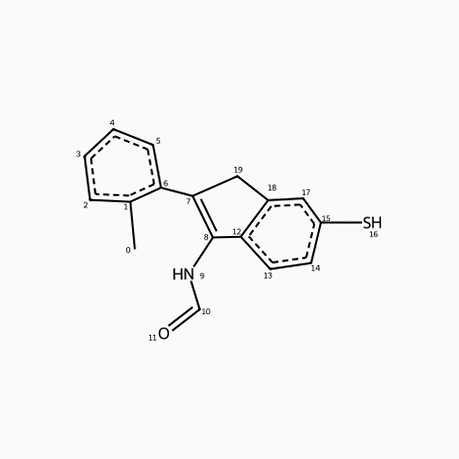 Cc1ccccc1C1=C(NC=O)c2ccc(S)cc2C1